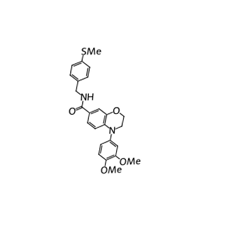 COc1ccc(N2CCOc3cc(C(=O)NCc4ccc(SC)cc4)ccc32)cc1OC